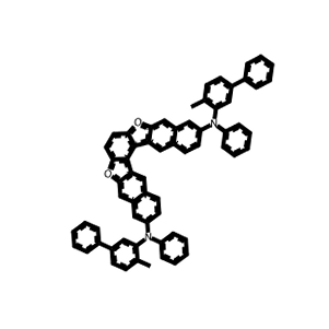 Cc1ccc(-c2ccccc2)cc1N(c1ccccc1)c1ccc2cc3c(cc2c1)oc1ccc2oc4cc5cc(N(c6ccccc6)c6cc(-c7ccccc7)ccc6C)ccc5cc4c2c13